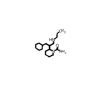 CCCNCC(CC1CCCCC1)C1CCCCN1C(N)=O